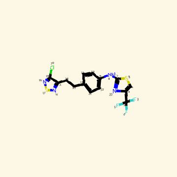 FC(F)(F)c1csc(Nc2ccc(CCc3nsnc3Cl)cc2)n1